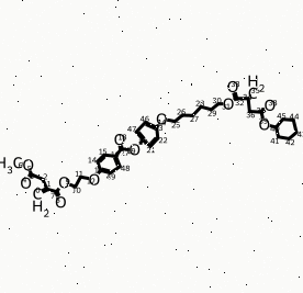 C=C(CC(=O)OC)C(=O)OCCOc1ccc(C(=O)Oc2ccc(OCCCCCCOC(=O)C(=C)CC(=O)OC3CCCCC3)cc2)cc1